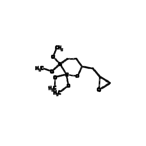 CO[Si]1(OC)CCC(CC2CO2)O[Si]1(OC)OC